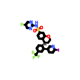 O=S(=O)(Nc1ncc(F)cn1)c1ccc2c(c1)OCC[C@@H]2c1ccc(C(F)(F)F)cc1-c1ccc(I)nc1